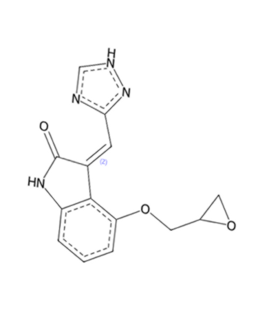 O=C1Nc2cccc(OCC3CO3)c2/C1=C/c1nc[nH]n1